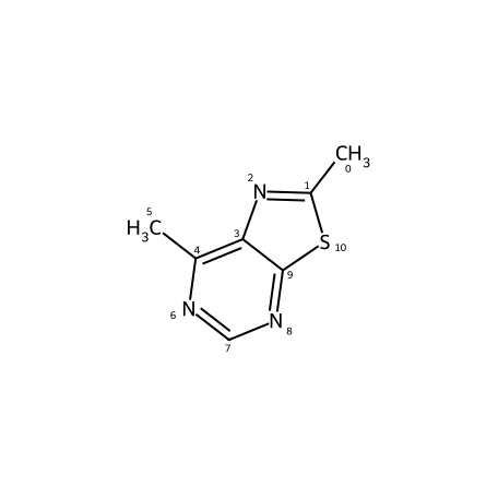 Cc1nc2c(C)ncnc2s1